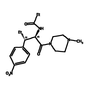 CCC(=O)N[C@@H](C(=O)N1CCN(C)CC1)[C@@H](CC)c1ccc([N+](=O)[O-])cc1